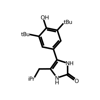 CC(C)Cc1[nH]c(=O)[nH]c1-c1cc(C(C)(C)C)c(O)c(C(C)(C)C)c1